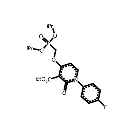 CCOC(=O)c1c(OCP(=O)(OC(C)C)OC(C)C)ccn(-c2ccc(F)cc2)c1=O